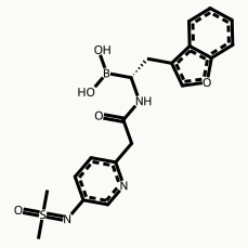 CS(C)(=O)=Nc1ccc(CC(=O)N[C@@H](Cc2coc3ccccc23)B(O)O)nc1